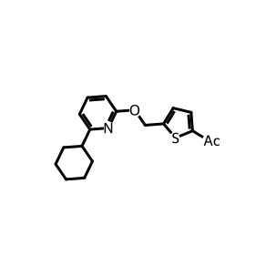 CC(=O)c1ccc(COc2cccc(C3CCCCC3)n2)s1